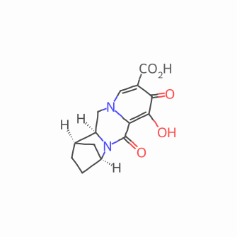 O=C(O)c1cn2c(c(O)c1=O)C(=O)N1[C@H]3CC[C@H](C3)[C@H]1C2